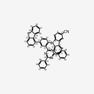 N#Cc1ccc2c(c1)c1ccccc1n2-c1ccc(-c2cccc3sc4ccccc4c23)cc1-c1nc(-c2ccccc2)nc(-c2ccccc2)n1